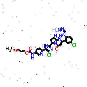 COCCCOC(=O)Nc1ccc(-c2[nH]c(C3CCc4nc(-c5cc(Cl)ccc5N(N)/C=N\N)cc(=O)n43)nc2Cl)nc1